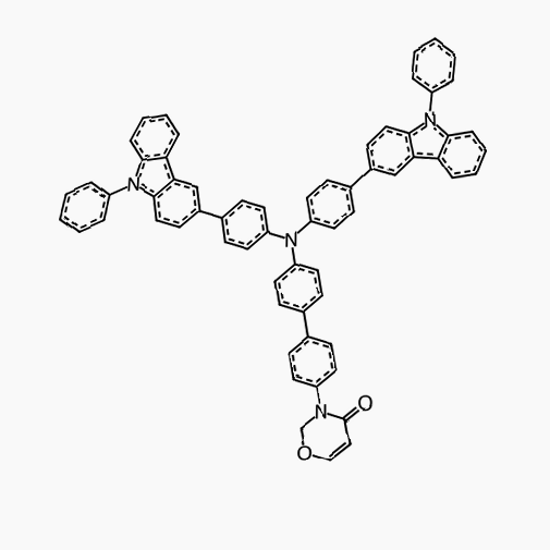 O=C1C=COCN1c1ccc(-c2ccc(N(c3ccc(-c4ccc5c(c4)c4ccccc4n5-c4ccccc4)cc3)c3ccc(-c4ccc5c(c4)c4ccccc4n5-c4ccccc4)cc3)cc2)cc1